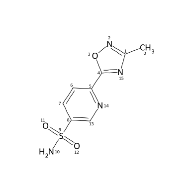 Cc1noc(-c2ccc(S(N)(=O)=O)cn2)n1